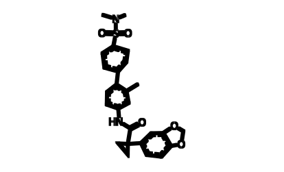 Cc1cc(NC(=O)C2(c3ccc4c(c3)OCO4)CC2)ccc1-c1ccc(S(=O)(=O)N(C)C)cc1